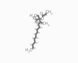 C=CC(=O)OC(CC)(C(N)=O)C(C)CCCCCCCCCCC